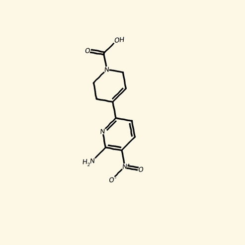 Nc1nc(C2=CCN(C(=O)O)CC2)ccc1[N+](=O)[O-]